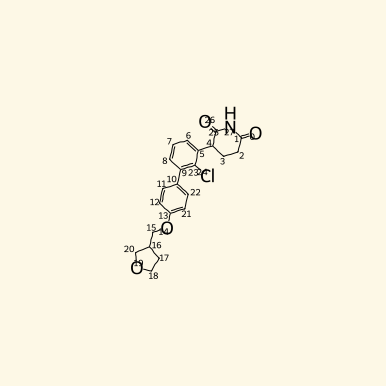 O=C1CCC(c2cccc(-c3ccc(OCC4CCOC4)cc3)c2Cl)C(=O)N1